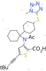 CC(=O)N(c1cc(C#CC(C)(C)C)sc1C(=O)O)C1(C2CCC(Sc3nnnn3C)CC2)CCCCC1